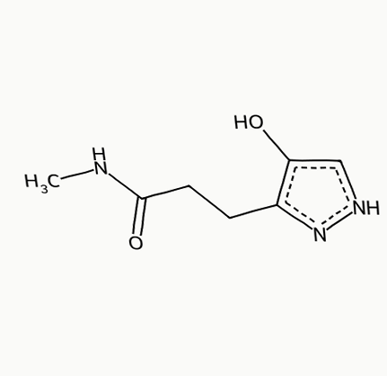 CNC(=O)CCc1n[nH]cc1O